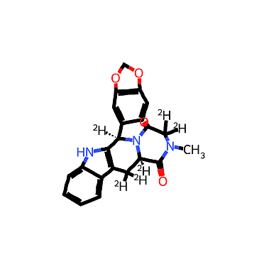 [2H]C1([2H])C(=O)N2[C@]([2H])(c3ccc4c(c3)OCO4)c3[nH]c4ccccc4c3C([2H])([2H])[C@]2([2H])C(=O)N1C